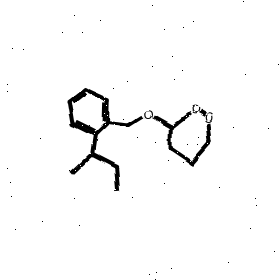 CCC(C)c1ccccc1COC1CCCOO1